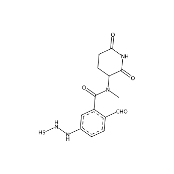 CN(C(=O)c1cc(NNS)ccc1C=O)C1CCC(=O)NC1=O